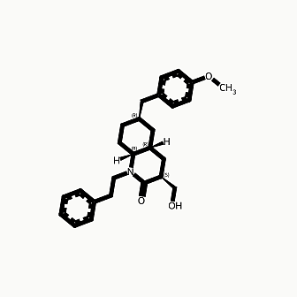 COc1ccc(C[C@@H]2CC[C@@H]3[C@H](C2)C[C@@H](CO)C(=O)N3CCc2ccccc2)cc1